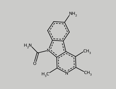 Cc1nc(C)c2c(c1C)c1cc(N)ccc1n2C(N)=O